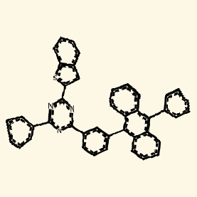 c1ccc(-c2nc(-c3cccc(-c4c5ccccc5c(-c5ccccc5)c5ccccc45)c3)nc(-c3cc4ccccc4s3)n2)cc1